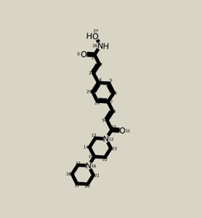 O=C(/C=C/c1ccc(/C=C/C(=O)N2CCC(N3CCCCC3)CC2)cc1)NO